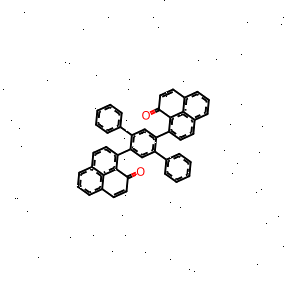 O=C1C=Cc2cccc3ccc(-c4cc(-c5ccccc5)c(-c5ccc6cccc7c6c5C(=O)C=C7)cc4-c4ccccc4)c1c23